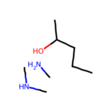 CCCC(C)O.CN.CNC